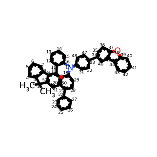 CC1(C)c2ccccc2-c2c(-c3ccccc3N(c3ccc(-c4ccccc4)cc3)c3ccc(-c4ccc5oc6ccccc6c5c4)cc3)cccc21